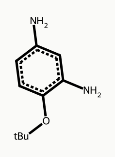 CC(C)(C)Oc1ccc(N)cc1N